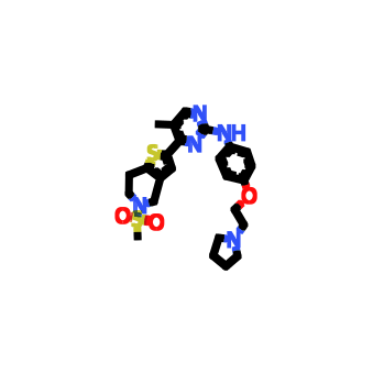 Cc1cnc(Nc2ccc(OCCN3CCCC3)cc2)nc1-c1cc2c(s1)CCN(S(C)(=O)=O)C2